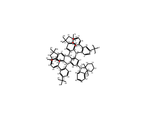 CC(C)(C)c1ccc(N2c3cc4c(cc3B3c5cc6c(cc5N(c5ccc(C(C)(C)C)cc5-c5ccccc5)c5cc(N7c8ccccc8C8(C)CCCCC78C)cc2c53)C(C)(C)CC6(C)C)C(C)(C)CC4(C)C)c(-c2ccccc2)c1